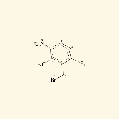 O=[N+]([O-])c1ccc(F)c(CBr)c1F